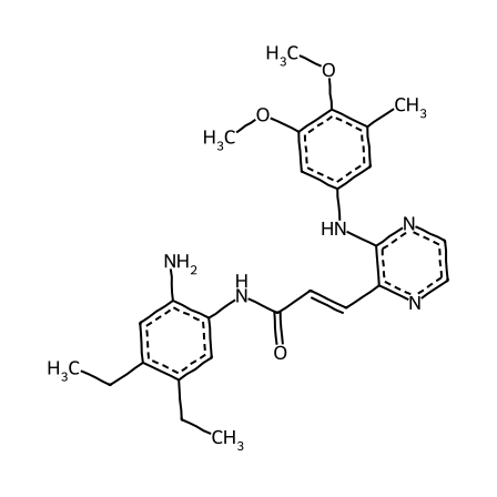 CCc1cc(N)c(NC(=O)/C=C/c2nccnc2Nc2cc(C)c(OC)c(OC)c2)cc1CC